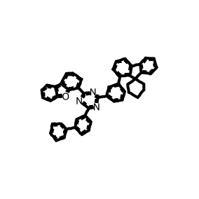 c1ccc(-c2cccc(-c3nc(-c4cccc(-c5cccc6c5C5(CCCCC5)c5ccccc5-6)c4)nc(-c4cccc5c4oc4ccccc45)n3)c2)cc1